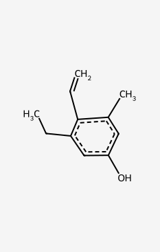 C=Cc1c(C)cc(O)cc1CC